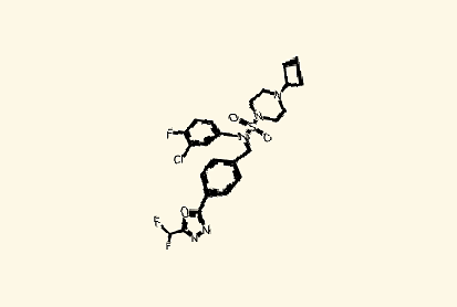 O=S(=O)(N1CCN(C2CCC2)CC1)N(Cc1ccc(-c2nnc(C(F)F)o2)cc1)c1ccc(F)c(Cl)c1